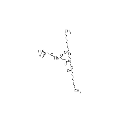 CCCCCCCCCC(=O)OCCN(CCOC(=O)CCCCCCCCC)C(=O)C=CC(=O)NCCOCCN(C)C